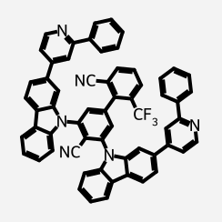 N#Cc1cccc(C(F)(F)F)c1-c1cc(-n2c3ccccc3c3ccc(-c4ccnc(-c5ccccc5)c4)cc32)c(C#N)c(-n2c3ccccc3c3ccc(-c4ccnc(-c5ccccc5)c4)cc32)c1